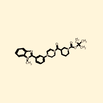 Cn1c(-c2cccc(N3CCN(C(=O)C4CCCN(C(=O)OC(C)(C)C)C4)CC3)c2)nc2ccccc21